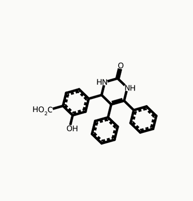 O=C1NC(c2ccccc2)=C(c2ccccc2)C(c2ccc(C(=O)O)c(O)c2)N1